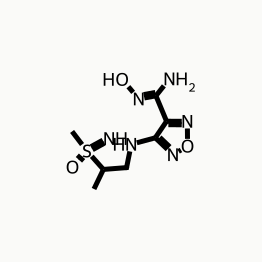 CC(CNc1nonc1C(N)=NO)S(C)(=N)=O